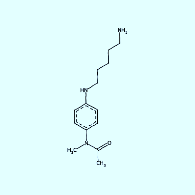 CC(=O)N(C)c1ccc(NCCCCCN)cc1